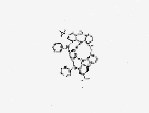 CC(C)(C)c1cc2c3c(c1)N(c1ccccc1)c1cc4c5cc1B3c1c(cccc1O2)Oc1cccc2c1B5c1c(cc(C(C)(C)C)cc1N4c1ccccc1)O2